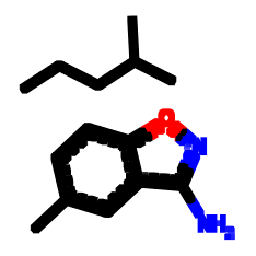 CCCC(C)C.Cc1ccc2onc(N)c2c1